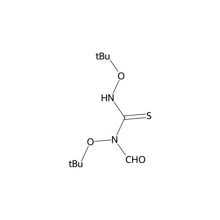 CC(C)(C)ONC(=S)N(C=O)OC(C)(C)C